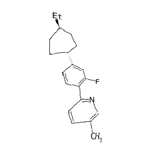 CC[C@H]1CC[C@H](c2ccc(-c3ccc(C)cn3)c(F)c2)CC1